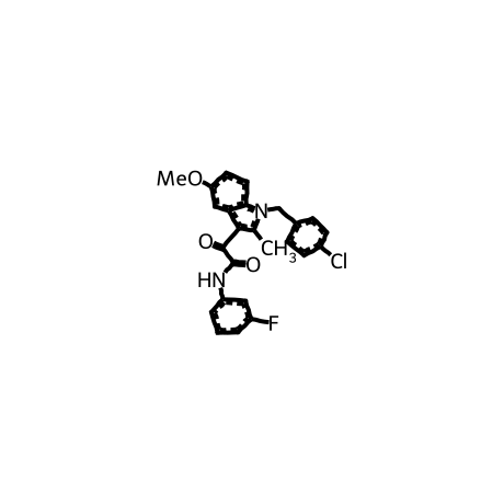 COc1ccc2c(c1)c(C(=O)C(=O)Nc1cccc(F)c1)c(C)n2Cc1ccc(Cl)cc1